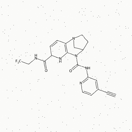 C#Cc1ccnc(NC(=O)N2C3=C(C=CC(C(=O)NCC(F)(F)F)N3)N3CCC2C3)c1